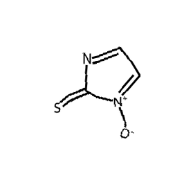 [O-][N+]1=CC=NC1=S